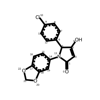 O=C1[C]=C(O)C(c2ccc(Cl)cc2)N1c1ccc2c(c1)OCO2